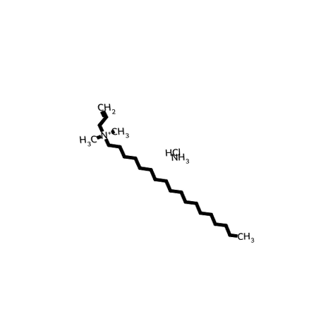 C=CC[N+](C)(C)CCCCCCCCCCCCCCCCCC.Cl.N